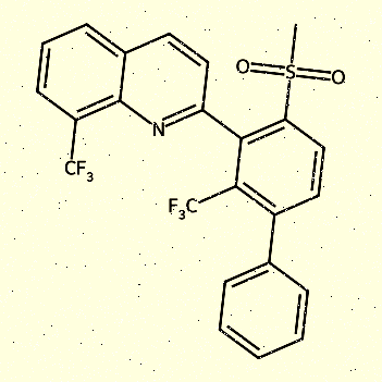 CS(=O)(=O)c1ccc(-c2ccccc2)c(C(F)(F)F)c1-c1ccc2cccc(C(F)(F)F)c2n1